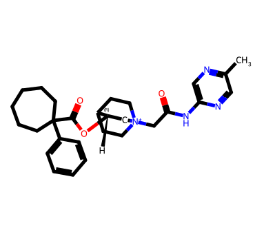 Cc1cnc(NC(=O)C[N+]23CCC(CC2)[C@@H](OC(=O)C2(c4ccccc4)CCCCCC2)C3)cn1